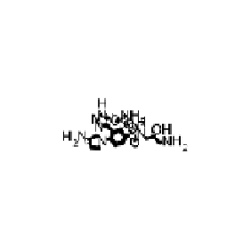 NCC(O)CNS(=O)(=O)c1ccc(N2CC[C@H](N)C2)c(-c2nn[nH]n2)c1S(N)(=O)=O